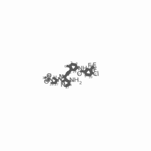 Cc1ccc(NC(=O)c2ccc(Cl)c(C(F)(F)F)c2)cc1C#Cc1nn([C@@H]2CCN(S(C)(=O)=O)C2)c2nccc(N)c12